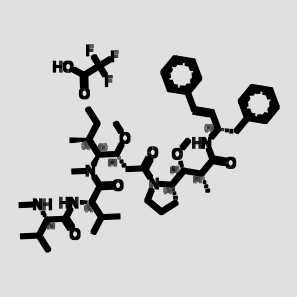 CC[C@H](C)[C@@H]([C@@H](CC(=O)N1CCC[C@H]1[C@H](OC)[C@@H](C)C(=O)N[C@H](C=Cc1ccccc1)Cc1ccccc1)OC)N(C)C(=O)[C@@H](NC(=O)[C@@H](NC)C(C)C)C(C)C.O=C(O)C(F)(F)F